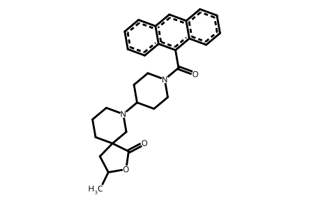 CC1CC2(CCCN(C3CCN(C(=O)c4c5ccccc5cc5ccccc45)CC3)C2)C(=O)O1